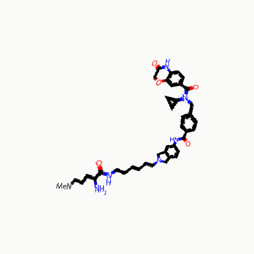 CNCCCC(N)C(=O)NCCCCCCN1Cc2ccc(NC(=O)c3ccc(CN(C(=O)c4ccc5c(c4)OCC(=O)N5)C4CC4)cc3)cc2C1